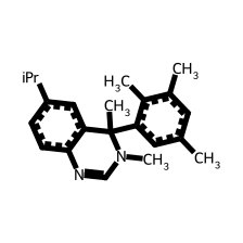 Cc1cc(C)c(C)c(C2(C)c3cc(C(C)C)ccc3N=CN2C)c1